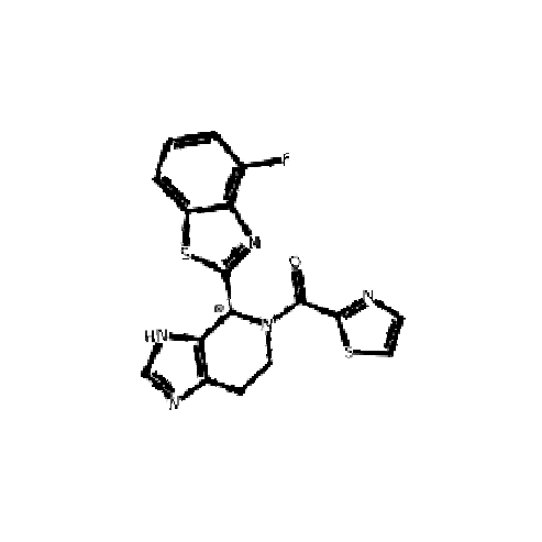 O=C(c1nccs1)N1CCc2nc[nH]c2[C@H]1c1nc2c(F)cccc2s1